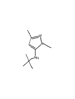 Cc1cc(NC(C)(C)C)n(C)n1